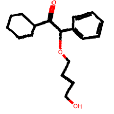 O=C(C1CCCCC1)C(OCCCCO)c1ccccc1